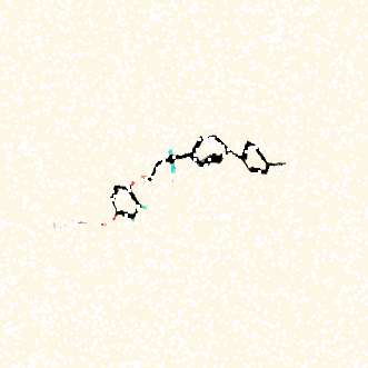 CCCCCOc1ccc(OCCC(F)(F)c2ccc(-c3ccc(CCCC)cc3)cc2)c(F)c1F